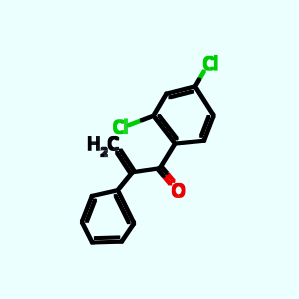 C=C(C(=O)c1ccc(Cl)cc1Cl)c1ccccc1